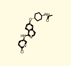 CC(=O)N[C@H]1CC[C@H](Oc2ccc3c(Nc4ccc(Cl)nc4)nccc3c2)CC1